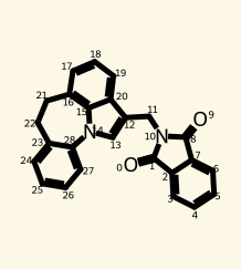 O=C1c2ccccc2C(=O)N1Cc1cn2c3c(cccc13)CCc1ccccc1-2